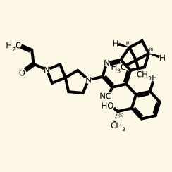 C=CC(=O)N1CC2(CCN(c3nc4c(c(-c5c(F)cccc5[C@H](C)O)c3C#N)C[C@H]3C[C@@H]4C3(C)C)C2)C1